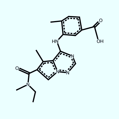 CCN(C)C(=O)c1cn2ncnc(Nc3cc(C(=O)O)ccc3C)c2c1C